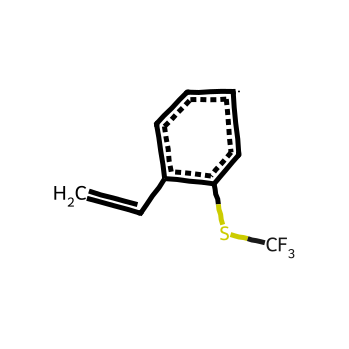 C=Cc1cc[c]cc1SC(F)(F)F